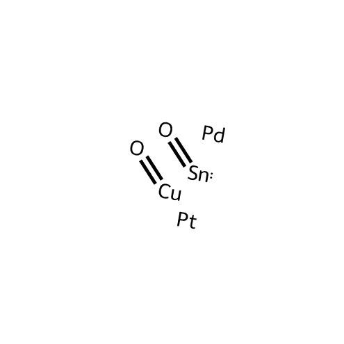 [O]=[Cu].[O]=[Sn].[Pd].[Pt]